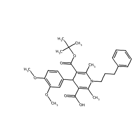 COc1ccc(C2C(C(=O)O)=C(C)N(CCCc3ccccc3)C(C)=C2C(=O)OC(C)(C)C)cc1OC